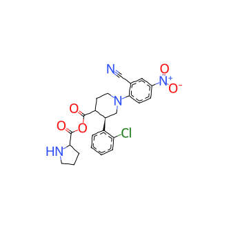 N#Cc1cc([N+](=O)[O-])ccc1N1CCC(C(=O)OC(=O)C2CCCN2)[C@H](c2ccccc2Cl)C1